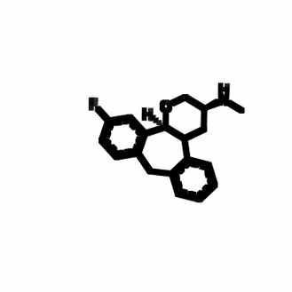 CN[C@@H]1CO[C@@H]2c3cc(F)ccc3Cc3ccccc3C2C1